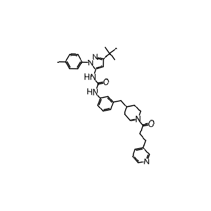 Cc1ccc(-n2nc(C(C)(C)C)cc2NC(=O)Nc2cccc(CC3CCN(C(=O)CCc4cccnc4)CC3)c2)cc1